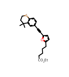 CCOC(=O)CCCCc1ccc(C#Cc2ccc3c(c2)C(C)(C)CCS3)o1